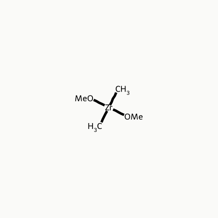 C[O][Zr]([CH3])([CH3])[O]C